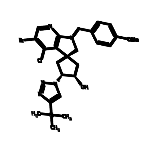 COc1ccc(CN2C[C@]3(C[C@@H](O)[C@H](n4cc([Si](C)(C)C)nn4)C3)c3c2ncc(Br)c3Cl)cc1